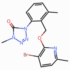 Cc1ccc(Br)c(OCc2c(C)cccc2-n2nnn(C)c2=O)n1